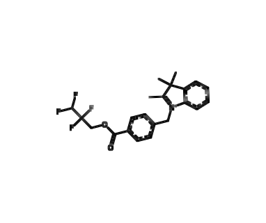 CC1=[N+](Cc2ccc(C(=O)OCC(F)(F)C(F)F)cc2)c2ccccc2C1(C)C